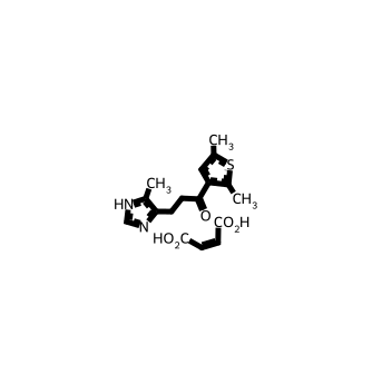 Cc1cc(C(=O)CCc2nc[nH]c2C)c(C)s1.O=C(O)/C=C\C(=O)O